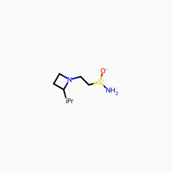 CC(C)C1CCN1CC[S+](N)[O-]